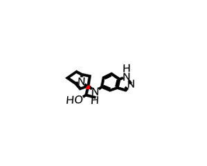 CC(O)CN1C2CCC1CC(Nc1ccc3[nH]ncc3c1)C2